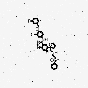 CCC(NCCS(=O)(=O)c1ccccc1)C1(c2cc3c(Nc4ccc(OCc5cccc(F)c5)c(Cl)c4)ncnc3cc2F)CC=CO1